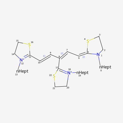 CCCCCCCN1CCS\C1=C/C=C(/C=C/C1=[N+](CCCCCCC)CCS1)C1=[N+](CCCCCCC)CCS1